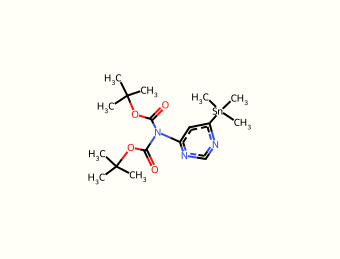 CC(C)(C)OC(=O)N(C(=O)OC(C)(C)C)c1c[c]([Sn]([CH3])([CH3])[CH3])ncn1